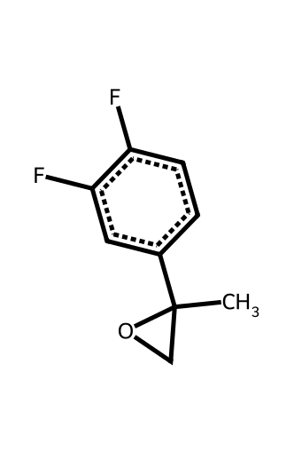 CC1(c2ccc(F)c(F)c2)CO1